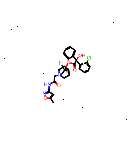 Cc1cc(NC(=O)C[N+]23CCC(CC2)[C@@H](OC(=O)C(O)(c2ccccc2)c2ccccc2Cl)C3)no1